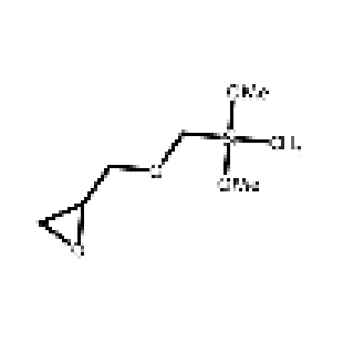 CO[Si](C)(COCC1CO1)OC